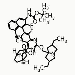 C#Cc1cccc2cc(NC(=O)OC(C)(C)C)c(F)c(-c3ncc4c(N5C[C@H]6CC[C@@H](C5)N6C(=O)O)nc(OCC56CC(CC)CN5CC(CC)C6)nc4c3F)c12